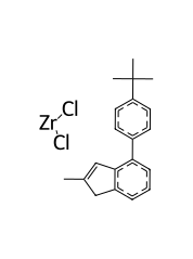 CC1=Cc2c(cccc2-c2ccc(C(C)(C)C)cc2)C1.[Cl][Zr][Cl]